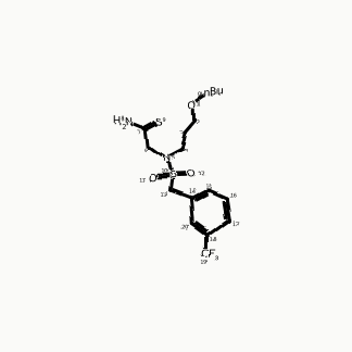 CCCCOCCCN(CC(N)=S)S(=O)(=O)Cc1cccc(C(F)(F)F)c1